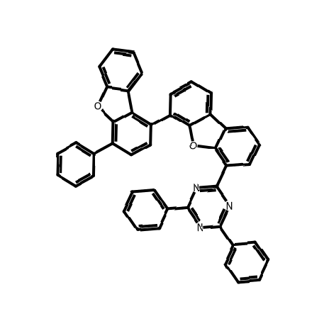 c1ccc(-c2nc(-c3ccccc3)nc(-c3cccc4c3oc3c(-c5ccc(-c6ccccc6)c6oc7ccccc7c56)cccc34)n2)cc1